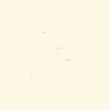 CC(C)(C)C(=O)CC1=NC2=NC3=C(CCCC3)NC2=CN1Cc1ccc(Cl)cc1